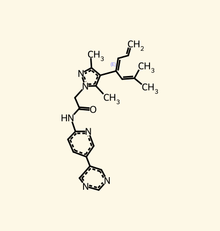 C=C/C=C(\C=C(C)C)c1c(C)nn(CC(=O)Nc2ccc(-c3cncnc3)cn2)c1C